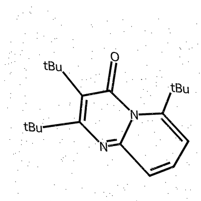 CC(C)(C)c1nc2cccc(C(C)(C)C)n2c(=O)c1C(C)(C)C